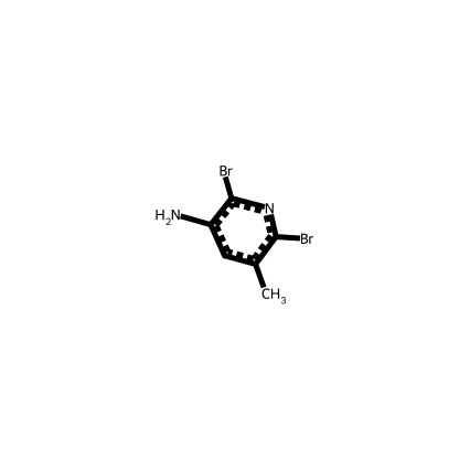 Cc1cc(N)c(Br)nc1Br